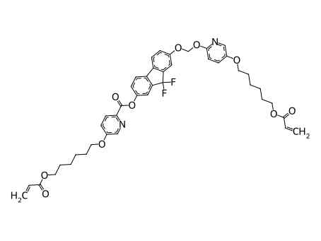 C=CC(=O)OCCCCCCOc1ccc(OCOc2ccc3c(c2)C(F)(F)c2cc(OC(=O)c4ccc(OCCCCCCOC(=O)C=C)cn4)ccc2-3)nc1